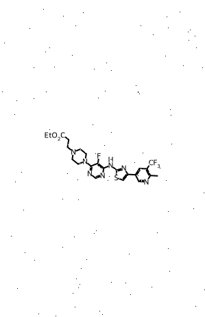 CCOC(=O)CCN1CCN(c2ncnc(Nc3nc(-c4cnc(C)c(C(F)(F)F)c4)cs3)c2F)CC1